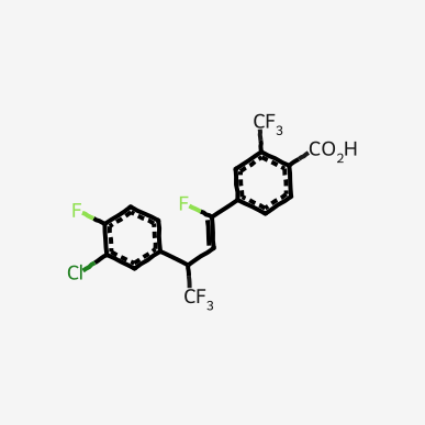 O=C(O)c1ccc(/C(F)=C/C(c2ccc(F)c(Cl)c2)C(F)(F)F)cc1C(F)(F)F